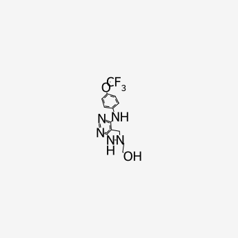 OCCN1Cc2c(Nc3ccc(OC(F)(F)F)cc3)ncnc2N1